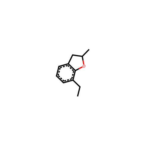 CCc1cccc2c1OC(C)C2